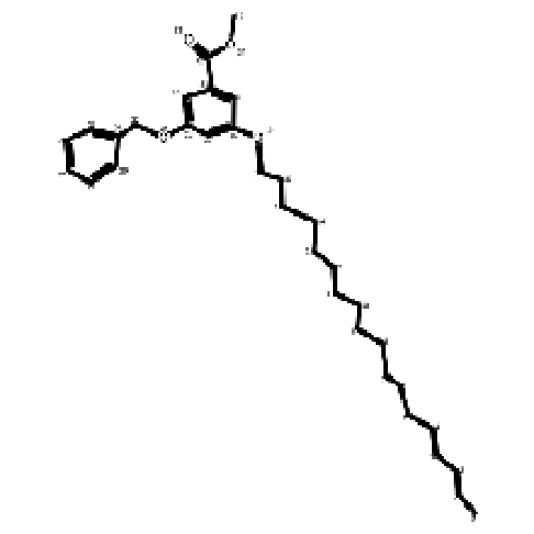 CCCCCCCCCCCCCCCCCCOc1cc(OCc2ccccc2)cc(C(=O)OC)c1